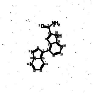 NC(=O)c1cc2c(-c3cnn4ncccc34)ccnc2[nH]1